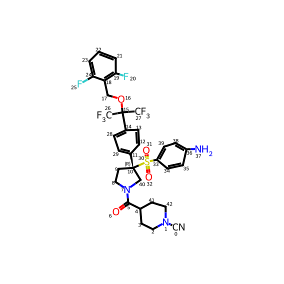 N#CN1CCC(C(=O)N2CC[C@](c3ccc(C(OCc4c(F)cccc4F)(C(F)(F)F)C(F)(F)F)cc3)(S(=O)(=O)c3ccc(N)cc3)C2)CC1